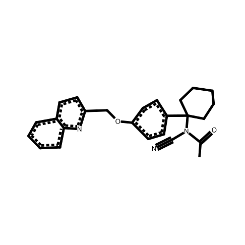 CC(=O)N(C#N)C1(c2ccc(OCc3ccc4ccccc4n3)cc2)CCCCC1